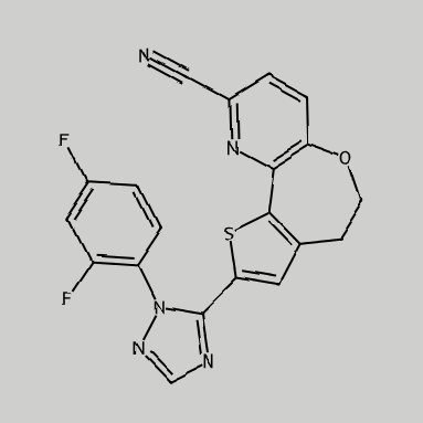 N#Cc1ccc2c(n1)-c1sc(-c3ncnn3-c3ccc(F)cc3F)cc1CCO2